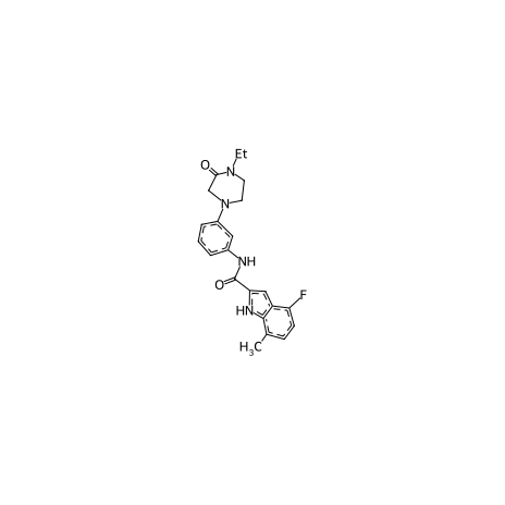 CCN1CCN(c2cccc(NC(=O)c3cc4c(F)ccc(C)c4[nH]3)c2)CC1=O